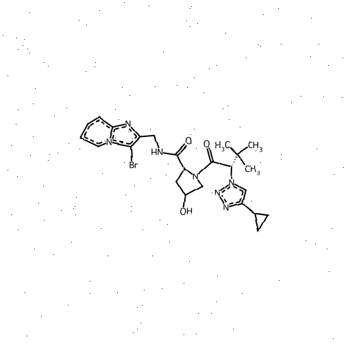 CC(C)(C)[C@@H](C(=O)N1CC(O)CC1C(=O)NCc1nc2ccccn2c1Br)n1cc(C2CC2)nn1